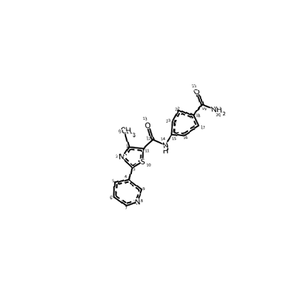 Cc1nc(-c2cccnc2)sc1C(=O)Nc1ccc(C(N)=O)cc1